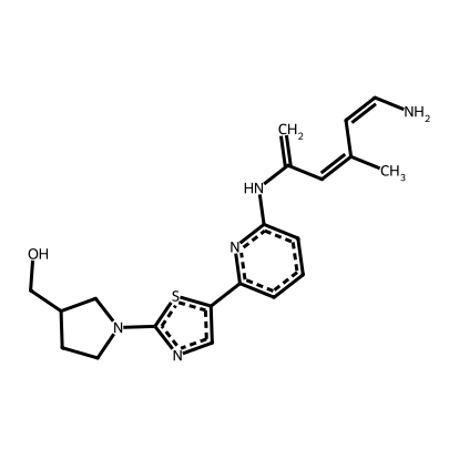 C=C(/C=C(C)\C=C/N)Nc1cccc(-c2cnc(N3CCC(CO)C3)s2)n1